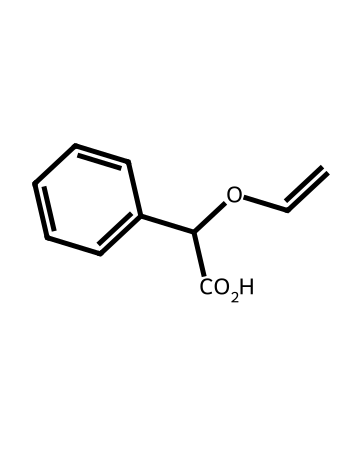 C=COC(C(=O)O)c1ccccc1